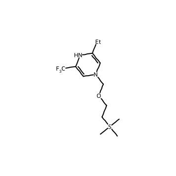 CCC1=CN(COCCS(C)(C)C)C=C(C(F)(F)F)N1